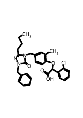 CCCCc1nn(Cc2ccccc2)c(=O)n1Cc1ccc(OC(C(=O)O)c2ccccc2Cl)c(C)c1